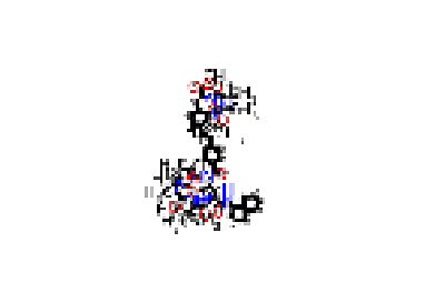 COC(=O)[C@H](Cc1ccc(/C=C/c2ccc(C(=O)N[C@H]3C[C@@H](C(=O)N[C@@H]4CCCc5ccccc54)N(C(=O)C(NC(=O)[C@H](C)N(C)C(=O)OC(C)(C)C)C(C)(C)C)C3)cc2)cc1)NC(=O)[C@H](C)N(C)C(=O)OC(C)(C)C